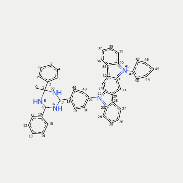 CC1(c2ccccc2)NC(c2ccccc2)NC(c2ccc(-n3c4ccccc4c4cc5c(cc43)c3ccccc3n5-c3ccccc3)cc2)N1